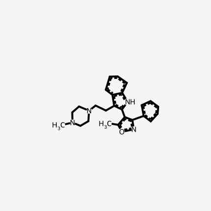 Cc1onc(-c2ccccc2)c1-c1[nH]c2ccccc2c1CCN1CCN(C)CC1